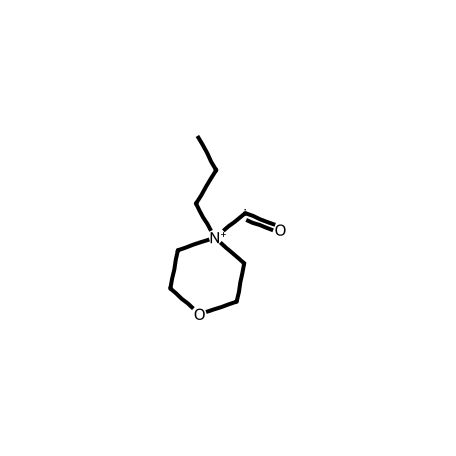 CCC[N+]1([C]=O)CCOCC1